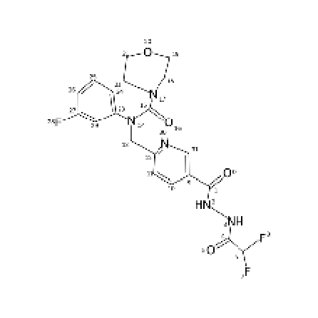 O=C(NNC(=O)C(F)F)c1ccc(CN(C(=O)N2CCOCC2)c2cccc(F)c2)nc1